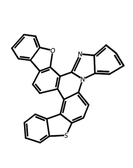 c1ccc2c(c1)nc1c3c(ccc4c5ccccc5oc43)c3c4c(ccc3n21)sc1ccccc14